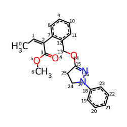 CC=C(C(=O)OC)c1ccccc1COC1=NN(c2ccccc2)CC1